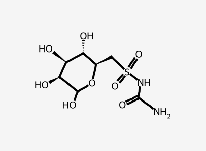 NC(=O)NS(=O)(=O)C[C@H]1OC(O)[C@@H](O)[C@@H](O)[C@@H]1O